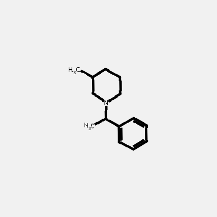 CC1CCCN(C(C)c2ccccc2)C1